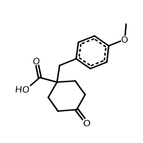 COc1ccc(CC2(C(=O)O)CCC(=O)CC2)cc1